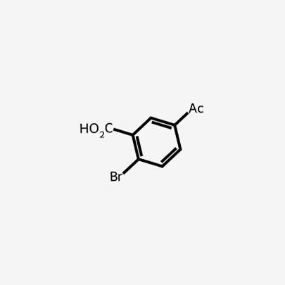 CC(=O)c1ccc(Br)c(C(=O)O)c1